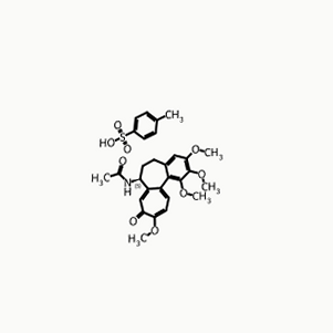 COc1cc2c(c(OC)c1OC)-c1ccc(OC)c(=O)cc1[C@@H](NC(C)=O)CC2.Cc1ccc(S(=O)(=O)O)cc1